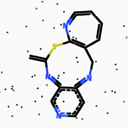 C=C1/N=c2/cncc/c2=N/CC2=C(N=C=CC=C2)S1